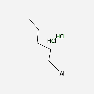 CCCC[CH2][Al].Cl.Cl